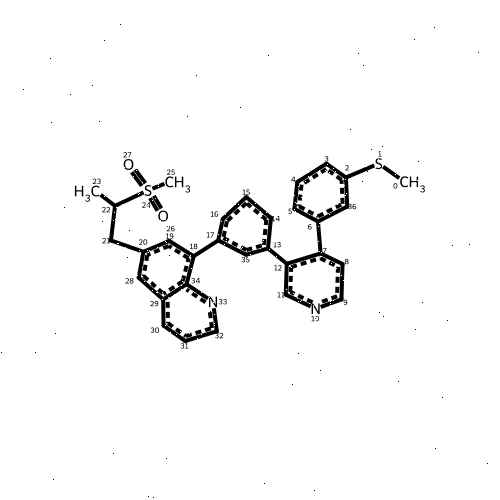 CSc1cccc(-c2ccncc2-c2cccc(-c3cc(CC(C)S(C)(=O)=O)cc4cccnc34)c2)c1